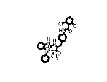 COC(=O)C(Cc1ccc(NC(=O)c2c(Cl)cccc2Cl)cc1)NC(=O)Nc1ccccc1Nc1ccccc1